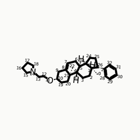 C[C@]12CC[C@H]3[C@@H](CC=C4C[C@@H](OCCN5CCCC5)CC[C@@]43C)[C@H]1CC[C@@H]2c1ccccc1